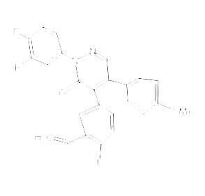 C=Cc1cc(-c2c(-c3ccc(SC)cc3)cnn(-c3ccc(F)c(F)c3)c2=O)ccc1F